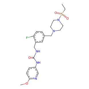 CCS(=O)(=O)N1CCN(Cc2ccc(F)c(CNC(=O)Nc3ccc(OC)nc3)c2)CC1